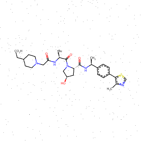 Cc1ncsc1-c1ccc([C@H](C)NC(=O)[C@@H]2C[C@@H](O)CN2C(=O)[C@@H](NC(=O)CN2CCC(CC(=O)O)CC2)C(C)(C)C)cc1